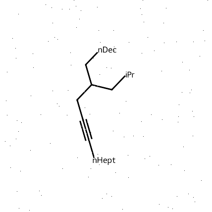 [CH2]CCCCCCC#CCC(CCCCCCCCCC[CH2])CC(C)C